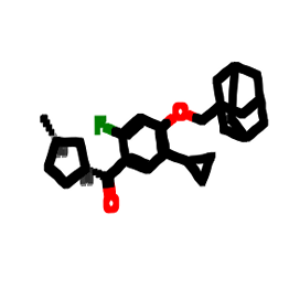 C[C@H]1CC[C@@H](C(=O)c2cc(C3CC3)c(OCC34CC5CC(CC(C5)C3)C4)cc2F)C1